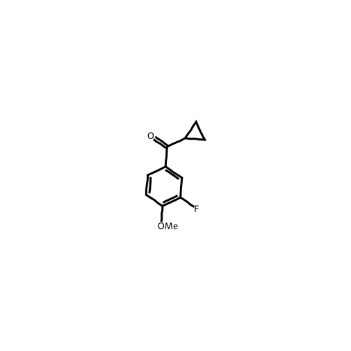 COc1ccc(C(=O)C2CC2)cc1F